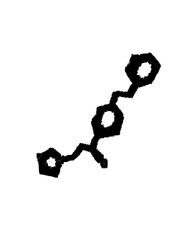 O=C(CCn1ccnc1)c1ccc(CCc2ccccc2)cc1